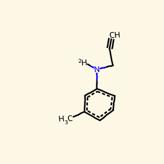 [2H]N(CC#C)c1cccc(C)c1